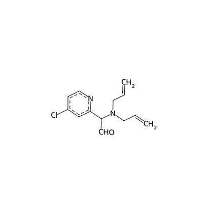 C=CCN(CC=C)C(C=O)c1cc(Cl)ccn1